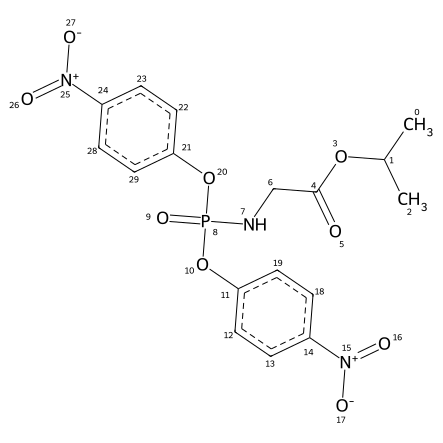 CC(C)OC(=O)CNP(=O)(Oc1ccc([N+](=O)[O-])cc1)Oc1ccc([N+](=O)[O-])cc1